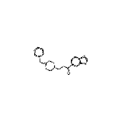 O=C(CCC1CCN(Cc2ccccc2)CC1)c1ccc2sccc2c1